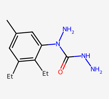 CCc1cc(C)cc(N(N)C(=O)NN)c1CC